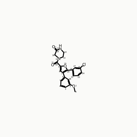 COc1cccc(-c2cc(C(=O)N3CCNC(=O)C3)oc2-c2cccc(Cl)c2)c1